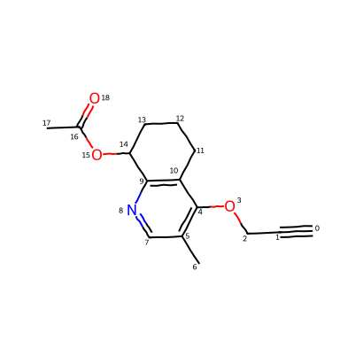 C#CCOc1c(C)cnc2c1CCCC2OC(C)=O